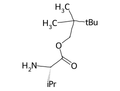 CC(C)[C@H](N)C(=O)OCC(C)(C)C(C)(C)C